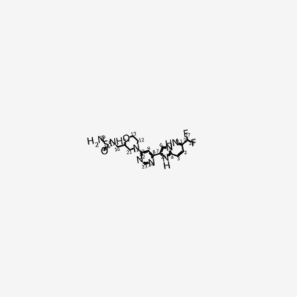 N=C(/C=C\c1ncc(-c2cc(N3CCOC(CN[S+](N)[O-])C3)ncn2)[nH]1)C(F)F